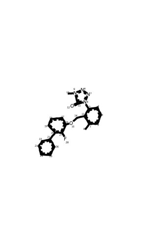 Cc1cccc(-n2nnn(C)c2=O)c1COc1cccc(-c2ccccc2)c1F